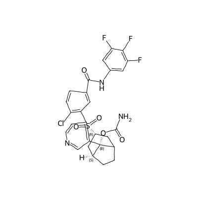 NC(=O)O[C@]1(c2cccnc2)C2CC[C@H]1C[C@H](S(=O)(=O)c1cc(C(=O)Nc3cc(F)c(F)c(F)c3)ccc1Cl)C2